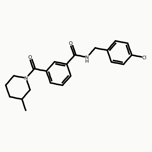 CC1CCCN(C(=O)c2cccc(C(=O)NCc3ccc(Cl)cc3)c2)C1